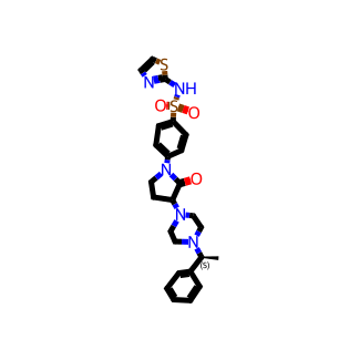 C[C@@H](c1ccccc1)N1CCN(C2CCN(c3ccc(S(=O)(=O)Nc4nccs4)cc3)C2=O)CC1